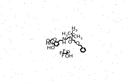 CC(C)[C@@H](C)N(CCNCCc1ccc(O)c2c1OCC(=O)N2)C(=O)CCOCCc1ccccc1.O=C(O)C(F)(F)F